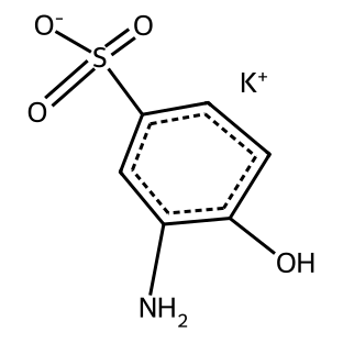 Nc1cc(S(=O)(=O)[O-])ccc1O.[K+]